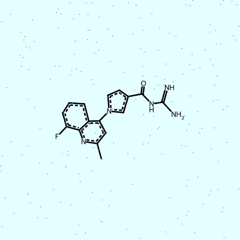 Cc1cc(-n2ccc(C(=O)NC(=N)N)c2)c2cccc(F)c2n1